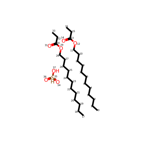 CCCCCCCCCCCCOC(=O)CC.CCCCCCCCCCCCOC(=O)CC.O=[SH](=O)O